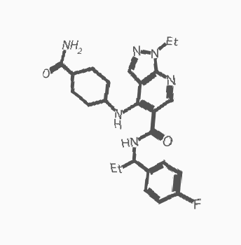 CCC(NC(=O)c1cnc2c(cnn2CC)c1NC1CCC(C(N)=O)CC1)c1ccc(F)cc1